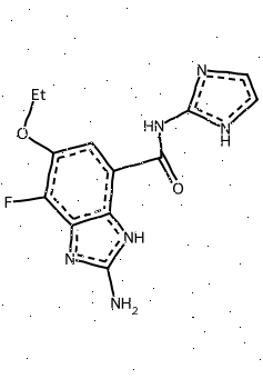 CCOc1cc(C(=O)Nc2ncc[nH]2)c2[nH]c(N)nc2c1F